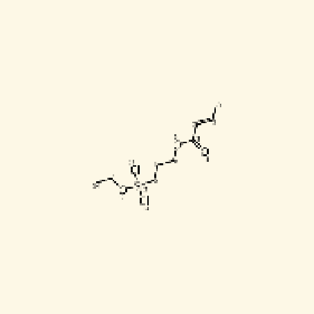 CC=CC(=O)OCCC[Si](Cl)(Cl)OCC